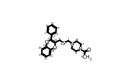 CC(=O)N1CCN(CSCC2=C(c3ccccc3)Oc3ccccc3O2)CC1